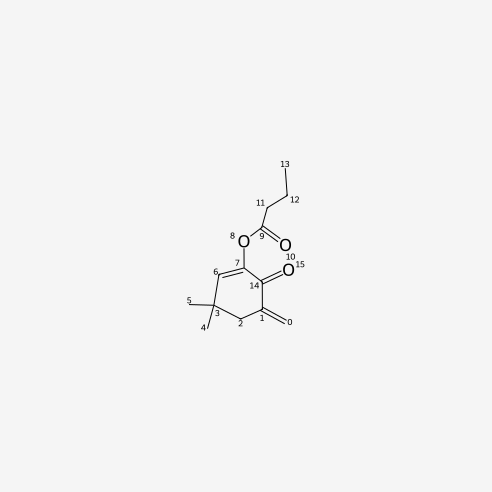 C=C1CC(C)(C)C=C(OC(=O)CCC)C1=O